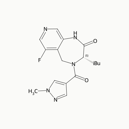 CCC(C)[C@H]1C(=O)Nc2cncc(F)c2CN1C(=O)c1cnn(C)c1